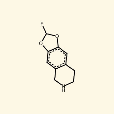 FC1Oc2cc3c(cc2O1)CNCC3